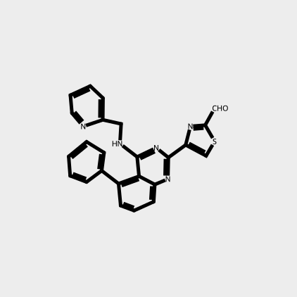 O=Cc1nc(-c2nc(NCc3ccccn3)c3c(-c4ccccc4)cccc3n2)cs1